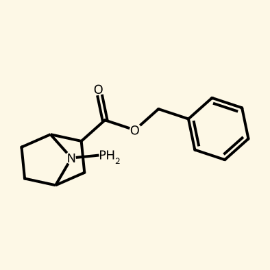 O=C(OCc1ccccc1)C1CC2CCC1N2P